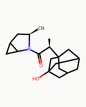 C[C@H](C(=O)N1C2CC2C[C@H]1C#N)C12CC3CC(CC(O)(C3)C1)C2